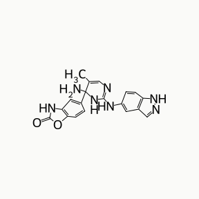 CC1=CN=C(Nc2ccc3[nH]ncc3c2)NC1(N)c1ccc2oc(=O)[nH]c2c1